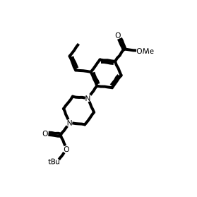 C/C=C\c1cc(C(=O)OC)ccc1N1CCN(C(=O)OC(C)(C)C)CC1